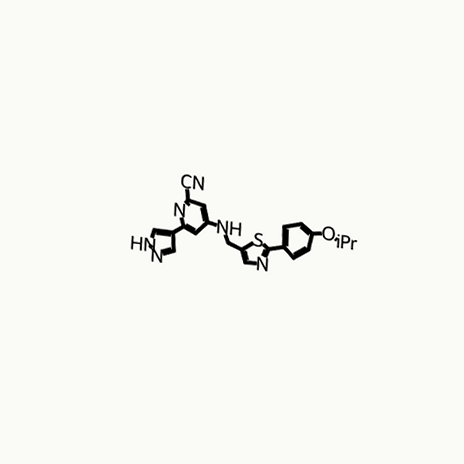 CC(C)Oc1ccc(-c2ncc(CNc3cc(C#N)nc(-c4cn[nH]c4)c3)s2)cc1